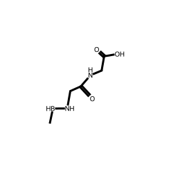 CBNCC(=O)NCC(=O)O